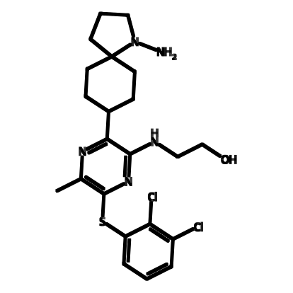 Cc1nc(C2CCC3(CCCN3N)CC2)c(NCCO)nc1Sc1cccc(Cl)c1Cl